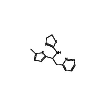 Cc1ccc(C(Cc2ccccn2)NC2=NCCS2)s1